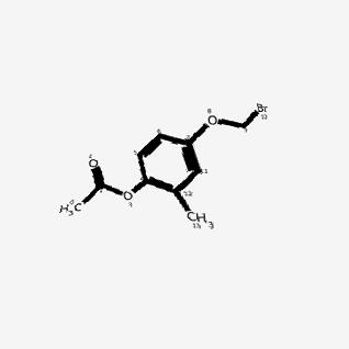 CC(=O)Oc1ccc(OCBr)cc1C